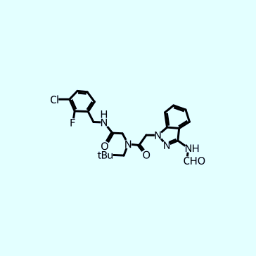 CC(C)(C)CN(CC(=O)NCc1cccc(Cl)c1F)C(=O)Cn1nc(NC=O)c2ccccc21